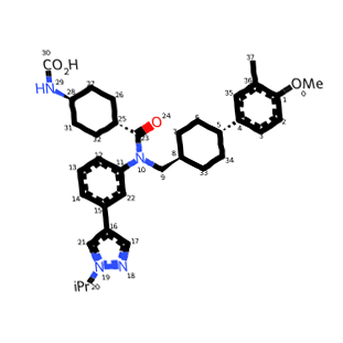 COc1ccc([C@H]2CC[C@H](CN(c3cccc(-c4cnn(C(C)C)c4)c3)C(=O)[C@H]3CC[C@H](NC(=O)O)CC3)CC2)cc1C